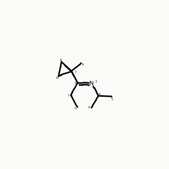 CC/C(=N\C(C)C)C1(C)CC1